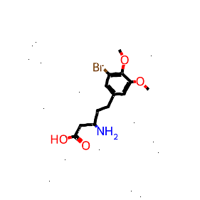 COc1cc(CCC(N)CC(=O)O)cc(Br)c1OC